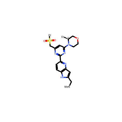 CC[C@H]1COCCN1c1cc(CS(=O)(=O)CC)nc(-c2ccc3[nH]c(CNC)cc3n2)n1